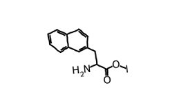 NC(Cc1ccc2ccccc2c1)C(=O)OI